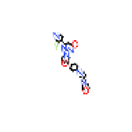 Cn1c(N2CCO[C@@H](c3ccc(N4CC[C@@H](N5CCOCC5)C4)cc3)C2)nc(-c2ccncc2F)cc1=O